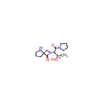 C[C@@H](O)C(C(=O)N1CCCC1)N1CC2(CCCN2)C1=O